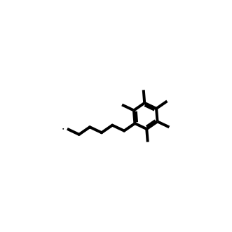 [CH2]CCCCCc1c(C)c(C)c(C)c(C)c1C